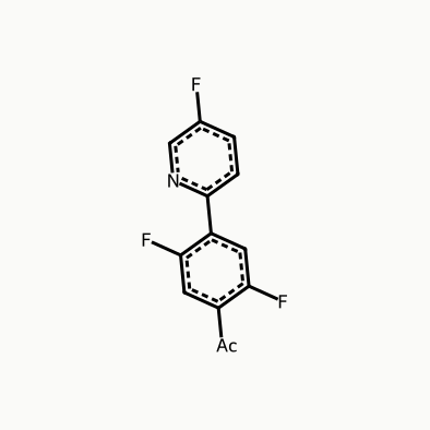 CC(=O)c1cc(F)c(-c2ccc(F)cn2)cc1F